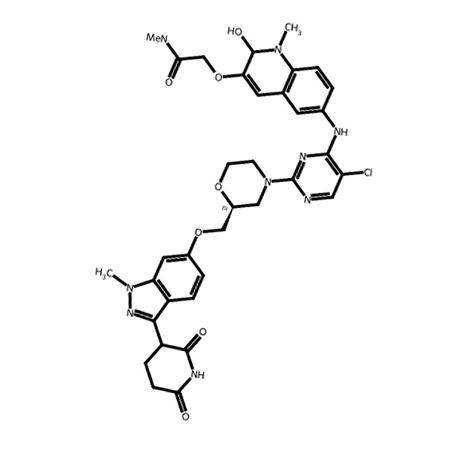 CNC(=O)COC1=Cc2cc(Nc3nc(N4CCO[C@H](COc5ccc6c(C7CCC(=O)NC7=O)nn(C)c6c5)C4)ncc3Cl)ccc2N(C)C1O